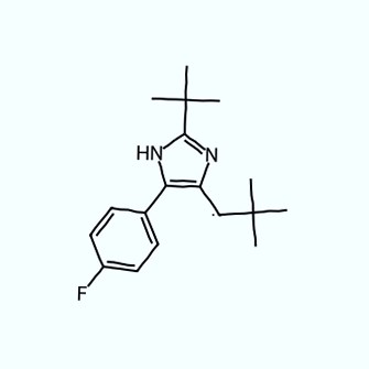 CC(C)(C)[CH]c1nc(C(C)(C)C)[nH]c1-c1ccc(F)cc1